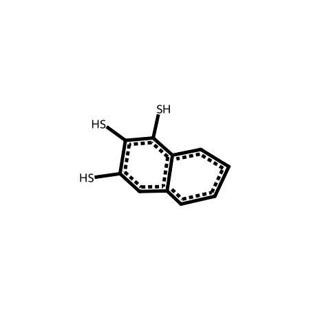 Sc1cc2ccccc2c(S)c1S